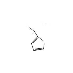 O=C(O)[C@@H](O)c1cccs1